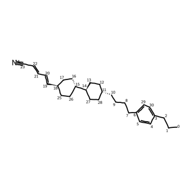 CCCc1ccc(CCCC[C@H]2CC[C@H]([C@H]3CC[C@H](C=CC=CC#N)CC3)CC2)cc1